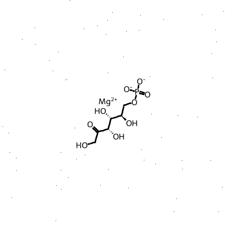 O=C(CO)[C@@H](O)[C@H](O)[C@H](O)COP(=O)([O-])[O-].[Mg+2]